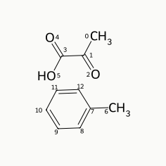 CC(=O)C(=O)O.Cc1ccccc1